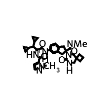 CNC(=O)C1(N2CC3(CCC3)CNC2=O)Cc2ccc(NC(=O)[C@@H](NC(=O)c3ccnn3C)C(C3CC3)C3CC3)cc2C1